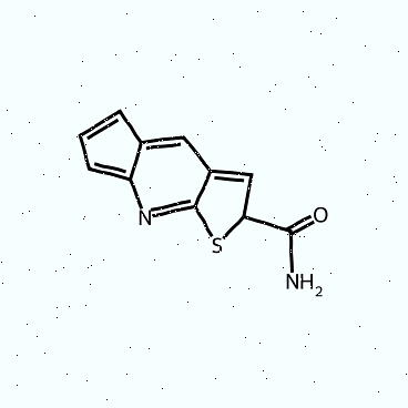 NC(=O)C1C=c2cc3c(nc2S1)=CC=C3